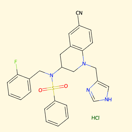 Cl.N#Cc1ccc2c(c1)CC(N(Cc1ccccc1F)S(=O)(=O)c1ccccc1)CN2Cc1c[nH]cn1